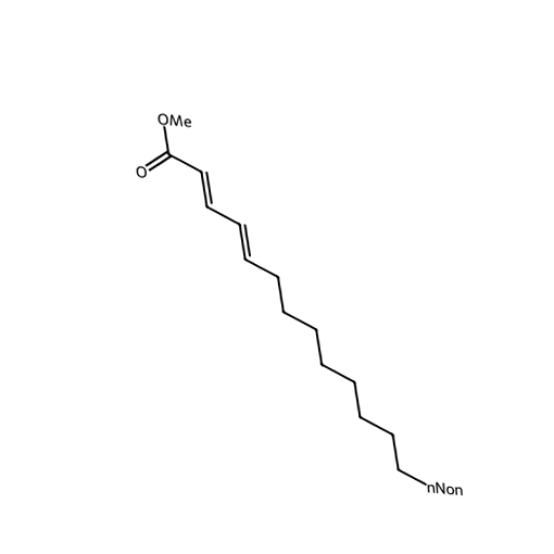 CCCCCCCCCCCCCCCCC/C=C/C=C/C(=O)OC